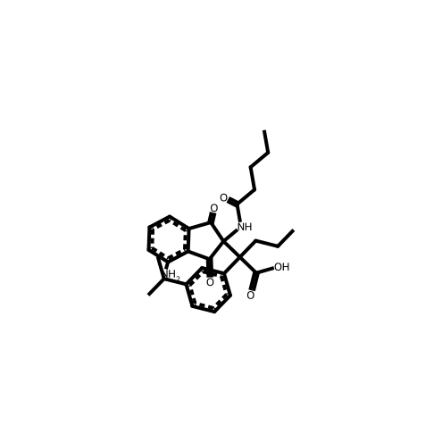 CCCCC(=O)NC1(C(CCC)(C(=O)O)c2cccc(C(C)C)c2)C(=O)c2cccc(N)c2C1=O